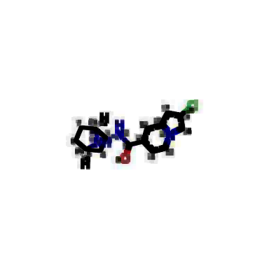 O=C(N[C@@H]1C[C@H]2CC[C@@H]1N2)c1ccn2cc(Cl)cc2c1